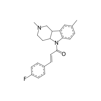 Cc1ccc2c(c1)C1CN(C)CCC1N2C(=O)/C=C/c1ccc(F)cc1